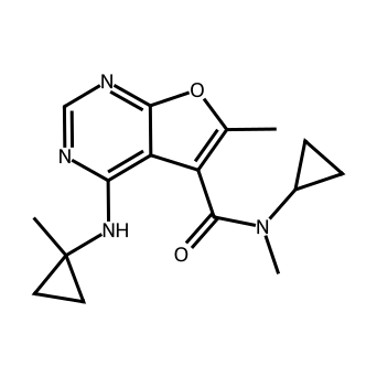 Cc1oc2ncnc(NC3(C)CC3)c2c1C(=O)N(C)C1CC1